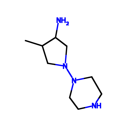 CC1CN(N2CCNCC2)CC1N